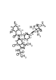 Cn1nc(NS(C)(=O)=O)c2c(Cl)ccc(-c3ccc(C#CC(C)(C)S(=O)(=O)C4CC4)nc3C(Cc3cc(F)cc(F)c3)NC=O)c21